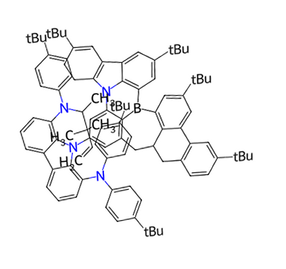 C=CC(C)(C)C(C)N(c1ccc(C(C)(C)C)cc1)c1cccc2c3cccc(N(c4ccc(C(C)(C)C)cc4)c4ccc(C(C)(C)C)cc4)c3n(-c3cc4c5c(c3)-n3c6c(c7cc(C(C)(C)C)cc(c73)B5c3cc(C(C)(C)C)cc5c3C(Cc3ccc(C(C)(C)C)cc3-5)C4)C=C(C(C)(C)C)CC6)c12